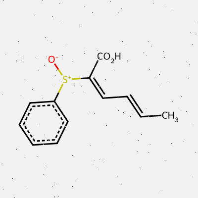 CC=CC=C(C(=O)O)[S+]([O-])c1ccccc1